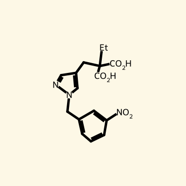 CCC(Cc1cnn(Cc2cccc([N+](=O)[O-])c2)c1)(C(=O)O)C(=O)O